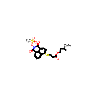 COC(C)CCOC(=O)CCSc1ccc2c3c(cccc13)C(=O)N(OS(=O)(=O)C(F)(F)F)C2=O